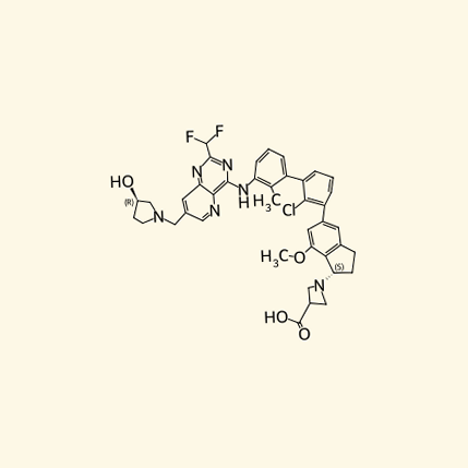 COc1cc(-c2cccc(-c3cccc(Nc4nc(C(F)F)nc5cc(CN6CC[C@@H](O)C6)cnc45)c3C)c2Cl)cc2c1[C@@H](N1CC(C(=O)O)C1)CC2